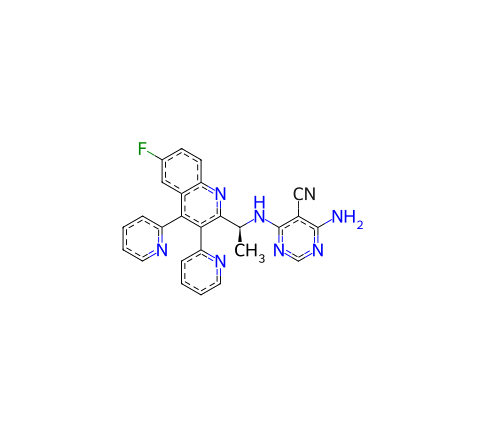 C[C@H](Nc1ncnc(N)c1C#N)c1nc2ccc(F)cc2c(-c2ccccn2)c1-c1ccccn1